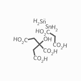 O=C(O)CC(=O)O.O=C(O)CC(O)(CC(=O)O)C(=O)O.[SnH2].[SnH2]